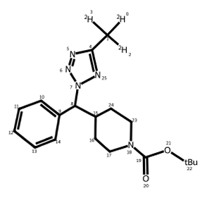 [2H]C([2H])([2H])c1nnn(C(c2ccccc2)C2CCN(C(=O)OC(C)(C)C)CC2)n1